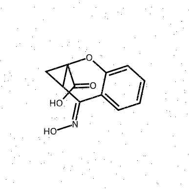 O=C(O)C12CC1C(=NO)c1ccccc1O2